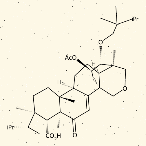 CC(=O)O[C@@H]1C[C@@]23COC[C@@](C)([C@@H]2CC[C@H]2C3=CC(=O)[C@@]3(C)[C@H](C(=O)O)[C@@](C)([C@H](C)C(C)C)CC[C@]23C)[C@H]1OCC(C)(C)C(C)C